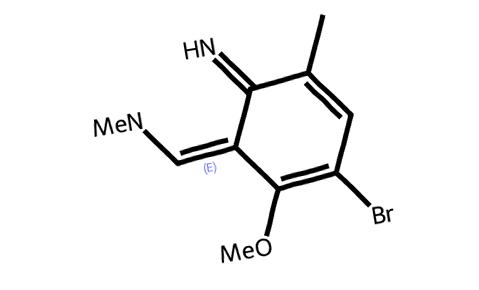 CN/C=C1\C(=N)C(C)=CC(Br)=C1OC